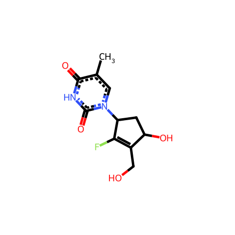 Cc1cn(C2CC(O)C(CO)=C2F)c(=O)[nH]c1=O